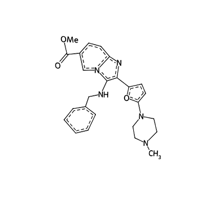 COC(=O)c1ccc2nc(-c3ccc(N4CCN(C)CC4)o3)c(NCc3ccccc3)n2c1